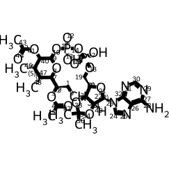 CC[C@@H](OC(C)=O)C1OC(OP(=O)(O)OP(=O)(O)OC[C@H]2O[C@@H](n3cnc4c(N)ncnc43)[C@H]3OC(C)(C)OC23)C(OC(C)=O)[C@@H](C)[C@@H]1C